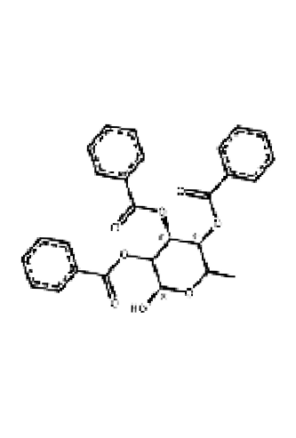 CC1O[C@@H](O)C(OC(=O)c2ccccc2)[C@@H](OC(=O)c2ccccc2)[C@H]1OC(=O)c1ccccc1